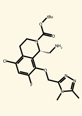 Cc1nnc(COc2c(F)cc(Cl)c3c2[C@@H](CN)N(C(=O)OC(C)(C)C)CC3)n1C